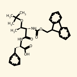 C[C@@H](OC(C)(C)C)[C@H](NC(=O)OCC1c2ccccc2-c2ccccc21)C(=O)N[C@@H](Cc1ccccc1)C(=O)O